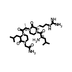 CC(C)CC1C(=O)N(CC(N)=O)CCN1C(=O)[C@H](C)N1CCN(C(=O)[C@@H](N)CC(C)C)[C@@H](CCCNC(=N)N)C1=O